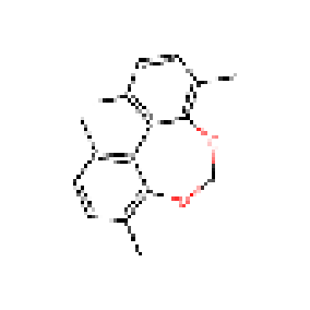 Cc1ccc(C)c2c1OCOc1c(C)ccc(C)c1-2